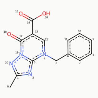 Cc1nc2n(Cc3ccccc3)cc(C(=O)O)c(=O)n2n1